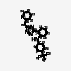 FC(F)(F)c1ccc(Nc2ccccc2-c2nnn(Cc3ccccn3)n2)cc1